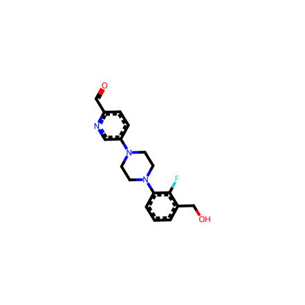 O=Cc1ccc(N2CCN(c3cccc(CO)c3F)CC2)cn1